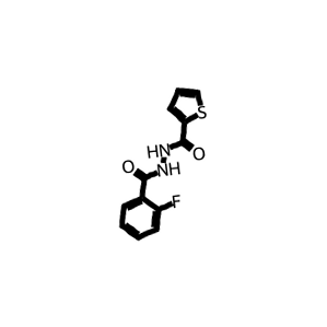 O=C(NNC(=O)c1ccccc1F)c1cccs1